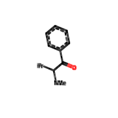 CNC(C(=O)c1ccccc1)C(C)C